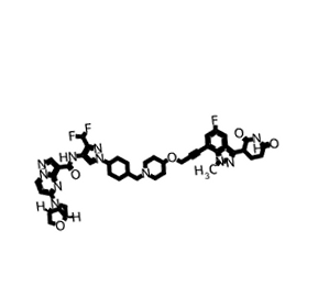 Cn1nc(C2CCC(=O)NC2=O)c2cc(F)cc(C#CCOC3CCN(CC4CCC(n5cc(NC(=O)c6cnn7ccc(N8C[C@H]9C[C@@H]8CO9)nc67)c(C(F)F)n5)CC4)CC3)c21